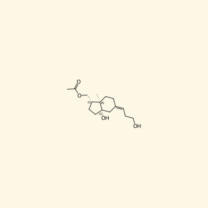 CC(=O)OC[C@H]1CC[C@]2(O)CC(=CCCO)CC[C@]12C